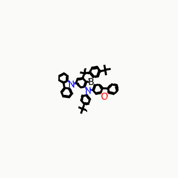 CC(C)(C)c1ccc(N2c3cc4oc5ccccc5c4cc3B3c4cc(C(C)(C)C)ccc4C(C)(C)c4cc(-n5c6ccccc6c6ccccc65)cc2c43)cc1